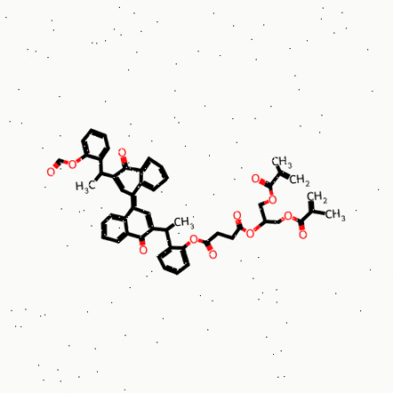 C=C(C)C(=O)OCC(COC(=O)C(=C)C)OC(=O)CCC(=O)Oc1ccccc1C(C)C1=C/C(=C2/C=C(C(C)c3ccccc3OC=O)C(=O)c3ccccc32)c2ccccc2C1=O